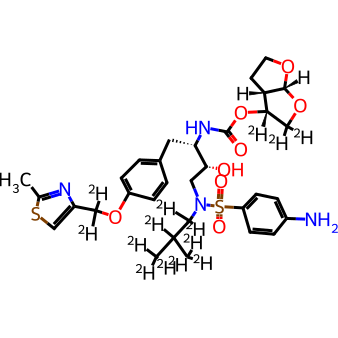 [2H]C([2H])(Oc1ccc(C[C@H](NC(=O)O[C@]2([2H])[C@@H]3CCO[C@@H]3OC2([2H])[2H])[C@H](O)CN(C([2H])([2H])C([2H])(C([2H])([2H])[2H])C([2H])([2H])[2H])S(=O)(=O)c2ccc(N)cc2)cc1)c1csc(C)n1